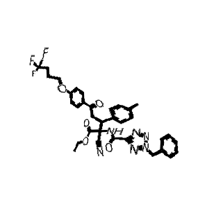 CCOC(=O)C(C#N)(NC(=O)c1nnn(Cc2ccccc2)n1)C(CC(=O)c1ccc(OCCCC(F)(F)F)cc1)c1ccc(C)cc1